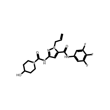 C=CCn1nc(NC(=O)N2CCC(O)CC2)cc1C(=O)Nc1cc(F)c(F)c(F)c1